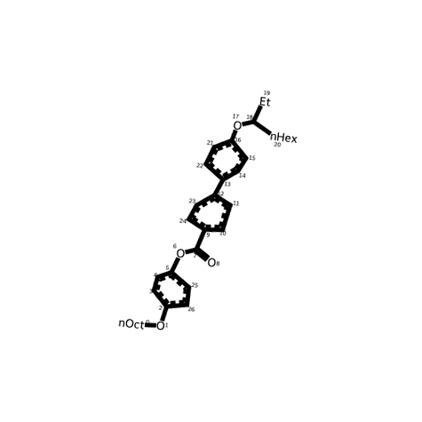 CCCCCCCCOc1ccc(OC(=O)c2ccc(-c3ccc(OC(CC)CCCCCC)cc3)cc2)cc1